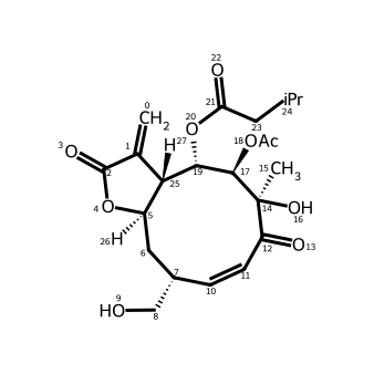 C=C1C(=O)O[C@@H]2C[C@@H](CO)/C=C\C(=O)[C@](C)(O)[C@H](OC(C)=O)[C@@H](OC(=O)CC(C)C)[C@@H]12